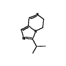 CC(C)c1ncc2n1CCN=C2